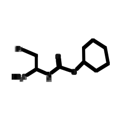 CC(C)CC(NC(=O)OC1CCCCC1)C(=O)O